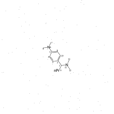 CCCC(c1ccc(N(C)C)cc1)N(C)C